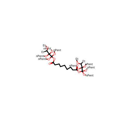 CCCCCOC(OCCCCC)(OC(=O)CCCCCCCC(=O)OC(OCCCCC)(OCCCCC)C(OCCCCC)(OCCCCC)C(CC)OCC)C(OCCCCC)(OCCCCC)C(CC)OCC